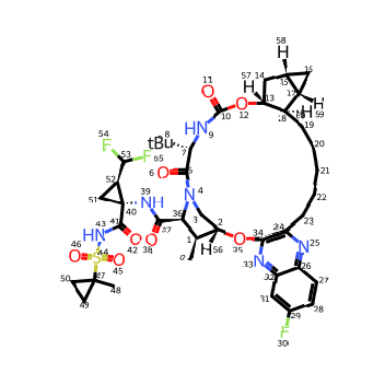 C[C@@H]1[C@@H]2CN(C(=O)[C@H](C(C)(C)C)NC(=O)O[C@@H]3C[C@@H]4C[C@@H]4[C@H]3CCCCCc3nc4ccc(F)cc4nc3O2)[C@@H]1C(=O)N[C@]1(C(=O)NS(=O)(=O)C2(C)CC2)C[C@H]1C(F)F